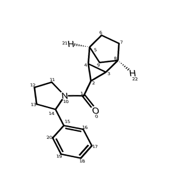 O=C(C1C2C1[C@H]1CC[C@@H]2C1)N1CCCC1c1ccccc1